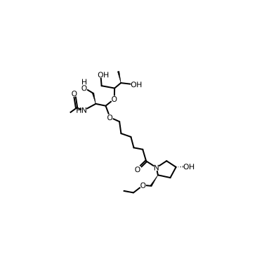 CCOC[C@@H]1C[C@@H](O)CN1C(=O)CCCCCOC(OC(CO)[C@@H](C)O)[C@H](CO)NC(C)=O